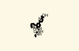 CCNC(=O)Nc1nc2cc(-c3ccc(C(C)(C)O)nc3)cc(-c3ccccn3)c2[nH]1